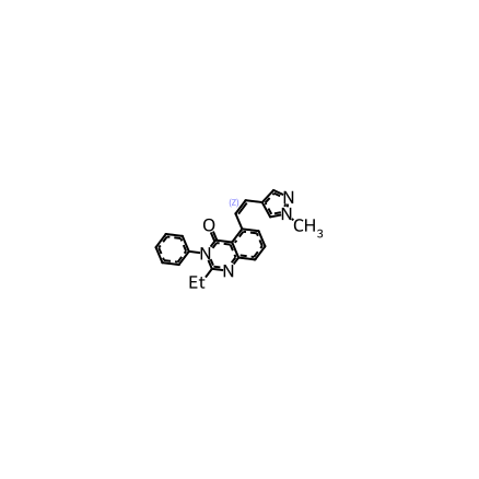 CCc1nc2cccc(/C=C\c3cnn(C)c3)c2c(=O)n1-c1ccccc1